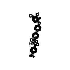 Cc1c(OC2CCN(C3CCN(S(=O)(=O)NC(=O)c4ccc(N(C)C)cc4)CC3)CC2)ccc(Cl)c1Cl